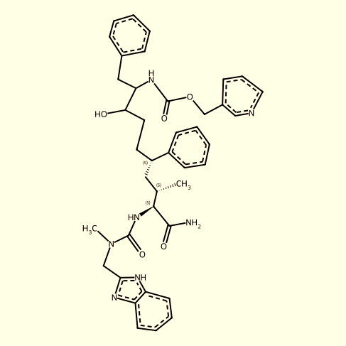 C[C@@H](C[C@H](CCC(O)C(Cc1ccccc1)NC(=O)OCc1cccnc1)c1ccccc1)[C@H](NC(=O)N(C)Cc1nc2ccccc2[nH]1)C(N)=O